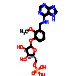 COc1c(CNc2ncnc3nc[nH]c23)cccc1OC1O[C@H](COP(=O)(O)O)[C@@H](O)[C@H]1O